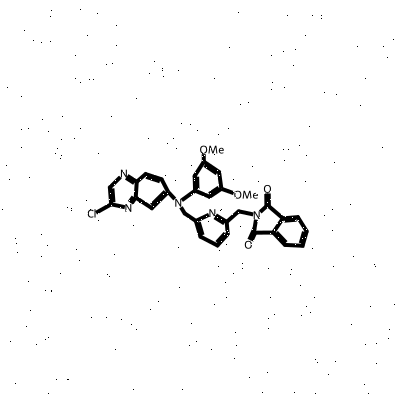 COc1cc(OC)cc(N(Cc2cccc(CN3C(=O)c4ccccc4C3=O)n2)c2ccc3ncc(Cl)nc3c2)c1